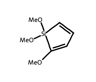 COC1=CC=C[Si]1(OC)OC